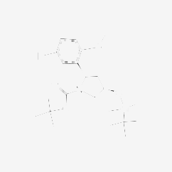 COc1ccc(F)cc1[C@H]1C[C@@H](O[Si](C)(C)C(C)(C)C)CN1C(=O)OC(C)(C)C